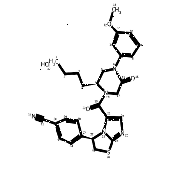 CCCC[C@H]1CN(c2cccc(OC)c2)C(=O)CN1C(=O)c1cnc2n1[C@H](c1ccc(C#N)cc1)CS2.Cl